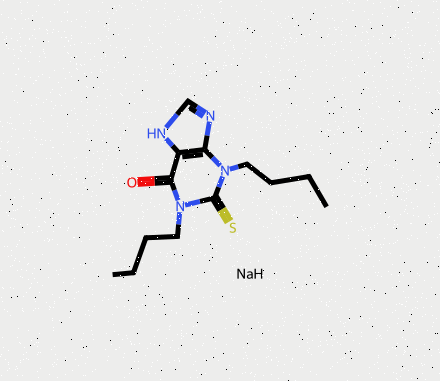 CCCCn1c(=O)c2[nH]cnc2n(CCCC)c1=S.[NaH]